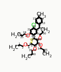 C=CCOC[C@H]1S[C@@H](c2cc(Cc3ccc(C)cc3)c(Cl)cc2OCC=C)[C@H](OCC=C)[C@@H](OCC=C)[C@@H]1OCC=C